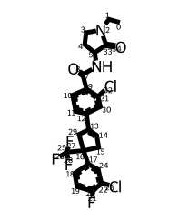 CCN1CCC(NC(=O)c2ccc(C3=CCC(c4ccc(F)c(Cl)c4)(C(F)(F)F)C3)cc2Cl)C1=O